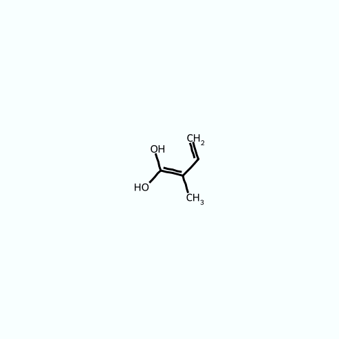 C=CC(C)=C(O)O